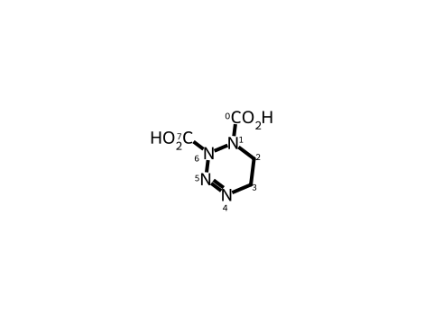 O=C(O)N1CCN=NN1C(=O)O